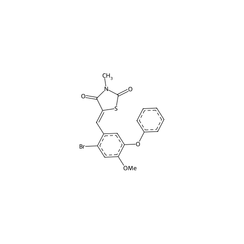 COc1cc(Br)c(/C=C2\SC(=O)N(C)C2=O)cc1Oc1ccccc1